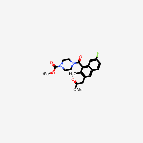 COC(=O)Cc1cc2ccc(F)cc2c(C(=O)N2CCN(C(=O)OC(C)(C)C)CC2)c1C